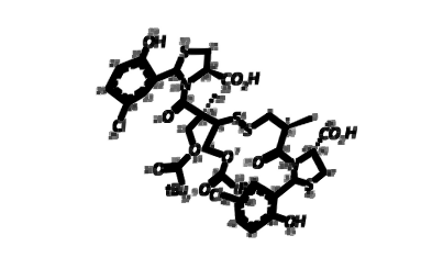 C[C@H](CSSC(COC(=O)C(C)(C)C)[C@@](C)(COC(=O)C(C)(C)C)C(=O)N1C(c2cc(Cl)ccc2O)SC[C@H]1C(=O)O)C(=O)N1C(c2cc(Cl)ccc2O)SC[C@H]1C(=O)O